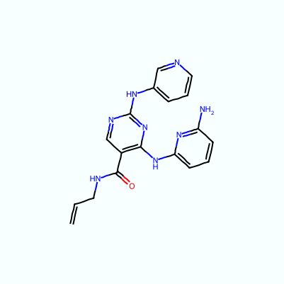 C=CCNC(=O)c1cnc(Nc2cccnc2)nc1Nc1cccc(N)n1